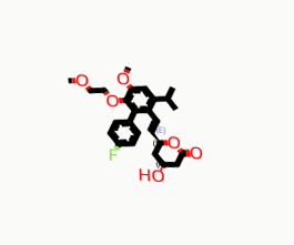 COCCOc1c(OC)cc(C(C)C)c(/C=C/[C@@H]2C[C@@H](O)CC(=O)O2)c1-c1ccc(F)cc1